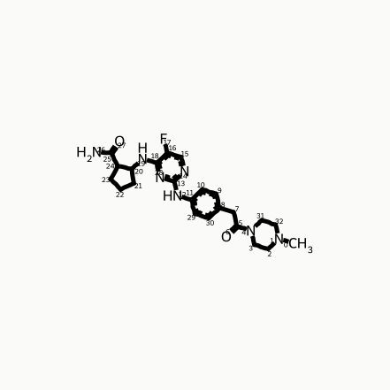 CN1CCN(C(=O)Cc2ccc(Nc3ncc(F)c(NC4CCCC4C(N)=O)n3)cc2)CC1